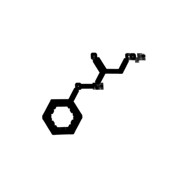 CCOC(=O)CC(=O)NOc1ccccc1